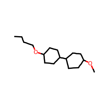 CCCCOC1CCC(C2CCC(OC)CC2)CC1